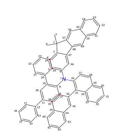 CC1(C)c2ccc(N(c3ccc(-c4ccccc4)cc3-c3ccccc3)c3ccc4ccccc4c3-c3ccc4ccccc4c3)cc2-c2cc3ccccc3cc21